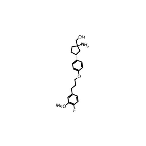 COc1cc(CCCOc2ccc([C@@H]3CC[C@](N)(CO)C3)cc2)ccc1F